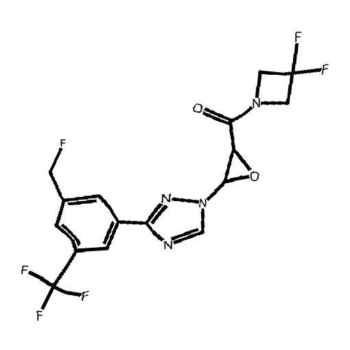 O=C(C1OC1n1cnc(-c2cc(CF)cc(C(F)(F)F)c2)n1)N1CC(F)(F)C1